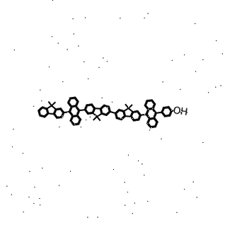 CC1(C)c2ccccc2-c2ccc(-c3c4ccccc4c(-c4ccc5c(c4)C(C)(C)c4cc(-c6ccc7c(c6)C(C)(C)c6cc(-c8c9ccccc9c(-c9ccc(O)cc9)c9ccccc89)ccc6-7)ccc4-5)c4ccccc34)cc21